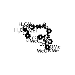 CC[C@H](C(=O)N1CCCC[C@H]1C(=O)O[C@H](CCc1ccc(OC)c(OC)c1)c1cccc(OCC(=O)N2CC3(C2)CN(C(=O)[C@H](CC)[C@@H]2N=C(c4ccc(Cl)cc4)c4c(sc(C)c4C)-n4c(C)nnc42)C3)c1)c1cc(OC)c(OC)c(OC)c1